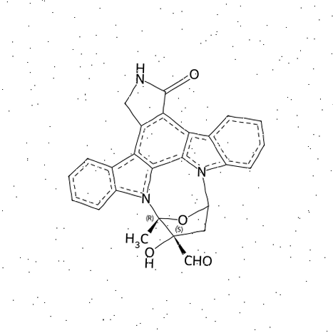 C[C@@]12OC(C[C@@]1(O)C=O)n1c3ccccc3c3c4c(c5c6ccccc6n2c5c31)CNC4=O